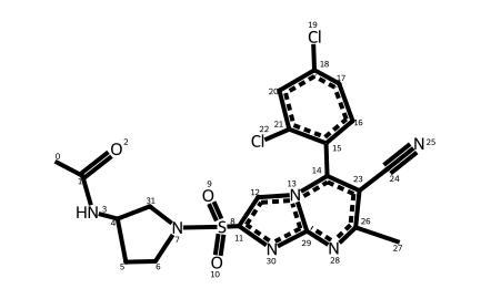 CC(=O)NC1CCN(S(=O)(=O)c2cn3c(-c4ccc(Cl)cc4Cl)c(C#N)c(C)nc3n2)C1